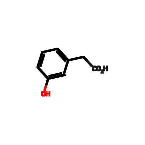 O=C(O)Cc1[c]c(O)ccc1